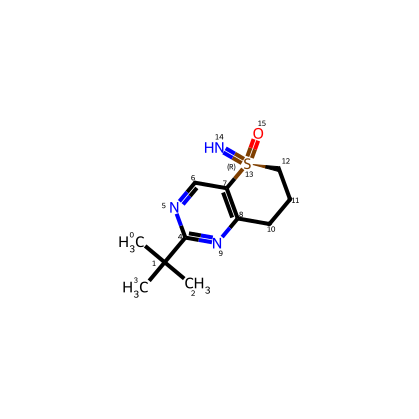 CC(C)(C)c1ncc2c(n1)CCC[S@@]2(=N)=O